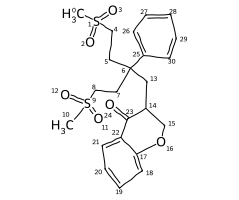 CS(=O)(=O)CCC(CCS(C)(=O)=O)(CC1COc2ccccc2C1=O)c1ccccc1